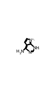 NC1=C2C=C[N+]=C2NC=N1